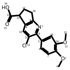 COc1ccc(-c2nc3c(cc2Cl)C(C(=O)O)CC3)cc1OC